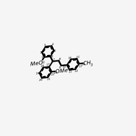 COc1ccccc1C(CCc1ccc(C)cc1)c1ccccc1OC